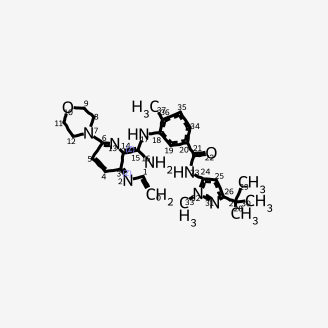 C=C/N=C1/C=CC(N2CCOCC2)=N/C1=C(/N)Nc1cc(C(=O)Nc2cc(C(C)(C)C)nn2C)ccc1C